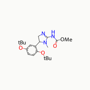 COC(=O)NC1=NCC(c2cc(OC(C)(C)C)ccc2OC(C)(C)C)N1C